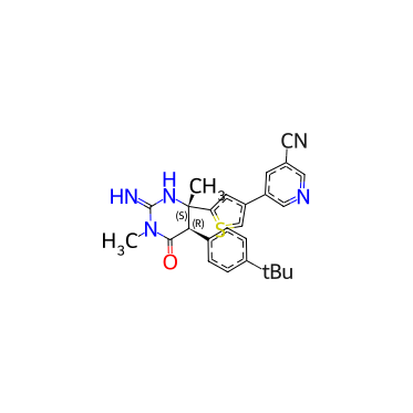 CN1C(=N)N[C@](C)(c2cc(-c3cncc(C#N)c3)cs2)[C@@H](c2ccc(C(C)(C)C)cc2)C1=O